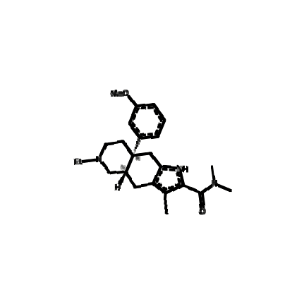 CCN1CC[C@@]2(c3cccc(OC)c3)Cc3[nH]c(C(=O)N(C)C)c(C)c3C[C@@H]2C1